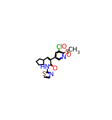 CS(=O)(=O)c1ncc(C(=CC2CCCC2)C(=O)Nc2nccs2)cc1Cl